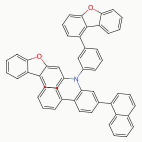 c1ccc(-c2ccc(-c3cccc4ccccc34)cc2N(c2cccc(-c3cccc4oc5ccccc5c34)c2)c2ccc3c(c2)oc2ccccc23)cc1